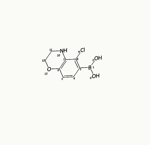 OB(O)c1ccc2c(c1Cl)NCCO2